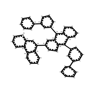 c1ccc(-c2cccc(-c3c4ccccc4c(-c4cccc(-c5ccccc5)c4)c4cc(-c5cc6ncccc6c6ccccc56)ccc34)c2)cc1